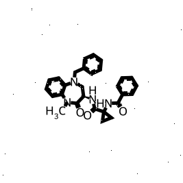 CN1C(=O)[C@H](NC(=O)C2(NC(=O)c3ccccc3)CC2)CN(Cc2ccccc2)c2ccccc21